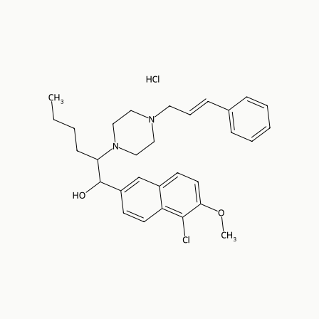 CCCCC(C(O)c1ccc2c(Cl)c(OC)ccc2c1)N1CCN(CC=Cc2ccccc2)CC1.Cl